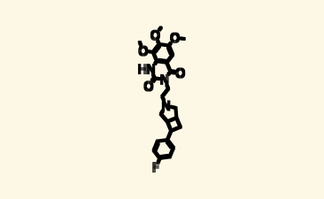 COc1cc2c(=O)n(CCN3CC4CC(c5ccc(F)cc5)C4C3)c(=O)[nH]c2c(OC)c1OC